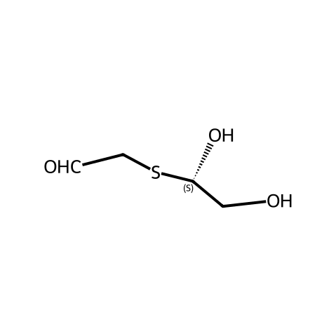 O=CCS[C@H](O)CO